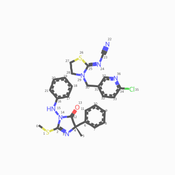 CSC1=N[C@@](C)(c2ccccc2)C(=O)N1Nc1ccccc1.N#C/N=C1\SCCN1Cc1ccc(Cl)nc1